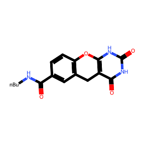 CCCCNC(=O)c1ccc2c(c1)Cc1c([nH]c(=O)[nH]c1=O)O2